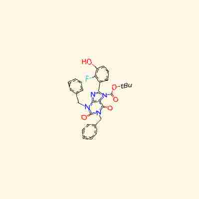 CC(C)(C)OC(=O)n1c(-c2cccc(O)c2F)nc2c1c(=O)n(Cc1ccccc1)c(=O)n2Cc1ccccc1